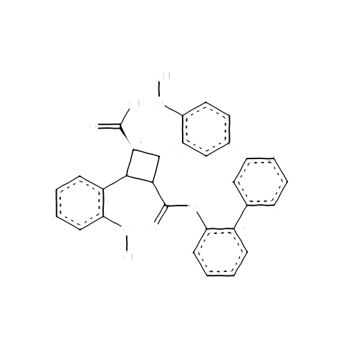 COc1ccccc1C1C(C(=O)Oc2ccccc2-c2ccccc2)[C@@H](c2ccccc2OC)[C@@H]1C(=O)O